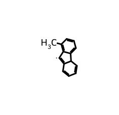 Cc1cccc2c1[C]=C1C=CC=CC12